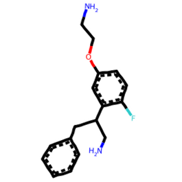 NCCOc1ccc(F)c(C(CN)Cc2ccccc2)c1